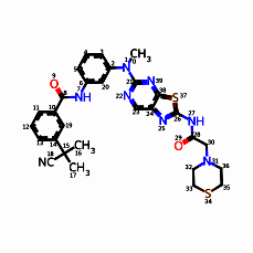 CN(c1cccc(NC(=O)c2cccc(C(C)(C)C#N)c2)c1)c1ncc2nc(NC(=O)CN3CCSCC3)sc2n1